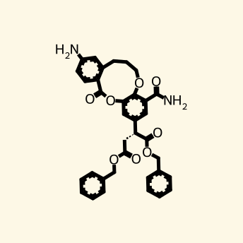 NC(=O)c1cc([C@@H](CC(=O)OCc2ccccc2)C(=O)OCc2ccccc2)cc2c1OCCCc1cc(N)ccc1C(=O)O2